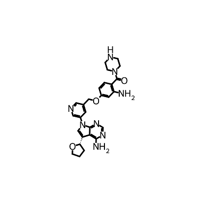 Nc1cc(OCc2cncc(-n3cc([C@@H]4CCCO4)c4c(N)ncnc43)c2)ccc1C(=O)N1CCNCC1